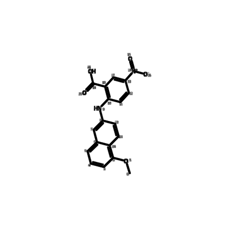 COc1cccc2cc(Nc3ccc([N+](=O)[O-])cc3C(=O)O)ccc12